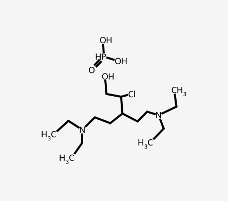 CCN(CC)CCC(CCN(CC)CC)C(Cl)CO.O=[PH](O)O